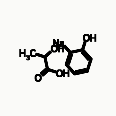 CC(O)C(=O)O.Oc1cccc[c]1[Na]